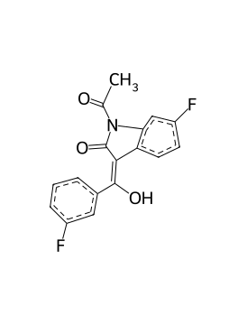 CC(=O)N1C(=O)C(=C(O)c2cccc(F)c2)c2ccc(F)cc21